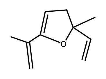 C=CC1(C)CC=C(C(=C)C)O1